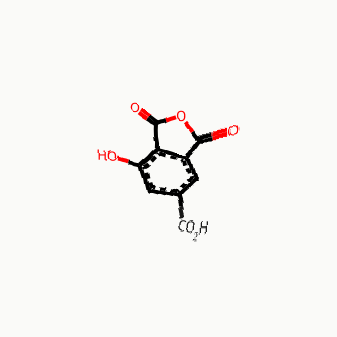 O=C(O)c1cc(O)c2c(c1)C(=O)OC2=O